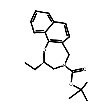 CC[C@@H]1CN(C(=O)OC(C)(C)C)Cc2ccc3ccccc3c2O1